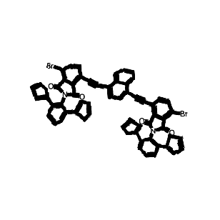 O=C1c2c(Br)ccc(C#Cc3ccc(C#Cc4ccc(Br)c5c4C(=O)N(c4c(C6=CC=CC6)cccc4C4=CC=CC4)C5=O)c4ccccc34)c2C(=O)N1c1c(C2=CC=CC2)cccc1C1=CC=CC1